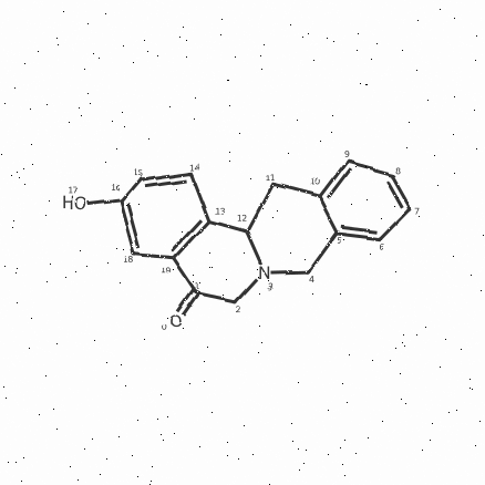 O=C1CN2Cc3ccccc3CC2c2ccc(O)cc21